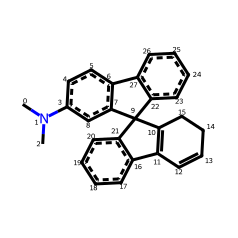 CN(C)c1ccc2c(c1)C1(C3=C(C=CCC3)c3ccccc31)c1ccccc1-2